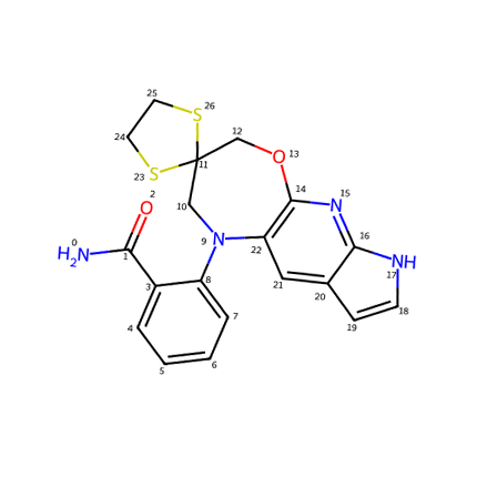 NC(=O)c1ccccc1N1CC2(COc3nc4[nH]ccc4cc31)SCCS2